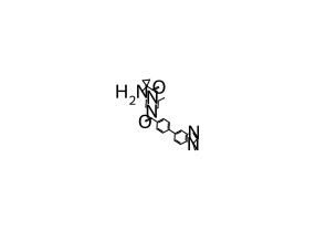 CC1CN(C(=O)c2ccc(-c3ccc4c(c3)ncn4C)cc2)CCN1C(=O)C1(N)CC1